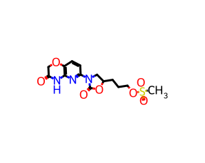 CS(=O)(=O)OCCCC1CN(c2ccc3c(n2)NC(=O)CO3)C(=O)O1